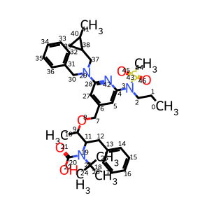 CCCN(c1cc(COC(C)C(Cc2ccccc2)N(C(=O)O)C(C)(C)C)cc(N(Cc2ccccc2)CC2CC2C)n1)S(C)(=O)=O